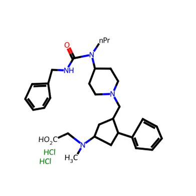 CCCN(C(=O)NCc1ccccc1)C1CCN(CC2CC(N(C)CC(=O)O)CC2c2ccccc2)CC1.Cl.Cl